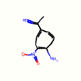 CC(=N)c1ccc(N)c([N+](=O)[O-])c1